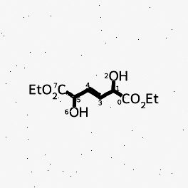 CCOC(=O)C(O)/C=C/C(O)C(=O)OCC